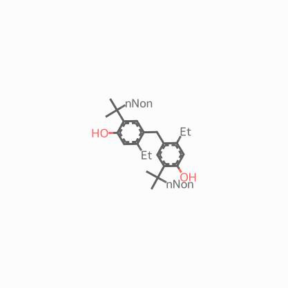 CCCCCCCCCC(C)(C)c1cc(Cc2cc(C(C)(C)CCCCCCCCC)c(O)cc2CC)c(CC)cc1O